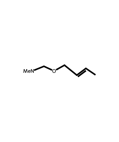 CC=CCOCNC